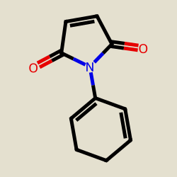 O=C1C=CC(=O)N1C1=CCCC=C1